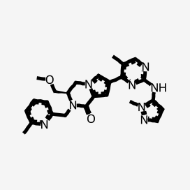 COC[C@H]1Cn2cc(-c3nc(Nc4ccnn4C)ncc3C)cc2C(=O)N1Cc1cccc(C)n1